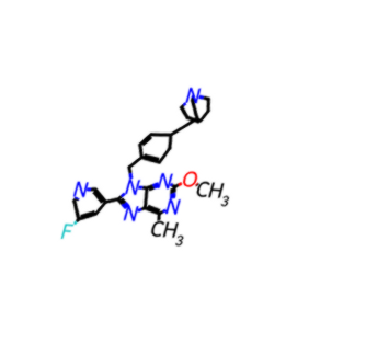 COc1nc(C)c2nc(-c3cncc(F)c3)n(CC3=CCC(C4CN5CCC4CC5)C=C3)c2n1